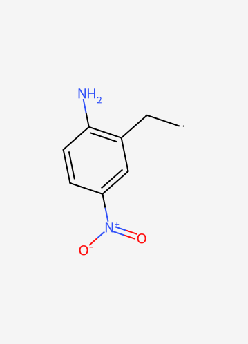 [CH2]Cc1cc([N+](=O)[O-])ccc1N